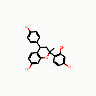 CC1(c2ccc(O)cc2O)CC(c2ccc(O)cc2)c2ccc(O)cc2O1